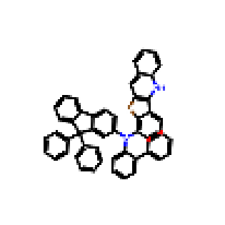 C1=CC2=Cc3sc4c(N(c5ccc6c(c5)C(c5ccccc5)(c5ccccc5)c5ccccc5-6)c5ccccc5-c5ccccc5)cccc4c3NC2C=C1